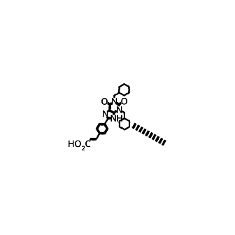 C=C.C=C.C=C.C=C.C=C.C=C.C=C.C=C.C=C.C=C.O=C(O)C=Cc1ccc(-c2nc3c(=O)n(CC4CCCCC4)c(=O)n(CC4CCCCC4)c3[nH]2)cc1